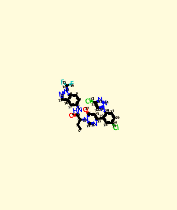 CCC(C(=O)Nc1ccc2c(cnn2C(F)F)c1)n1cnc(-c2cc(Cl)ccc2-n2cc(Cl)nn2)cc1=O